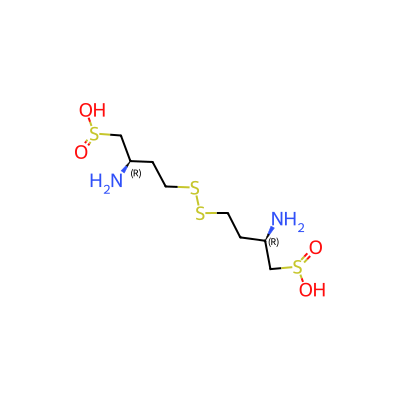 N[C@H](CCSSCC[C@@H](N)CS(=O)O)CS(=O)O